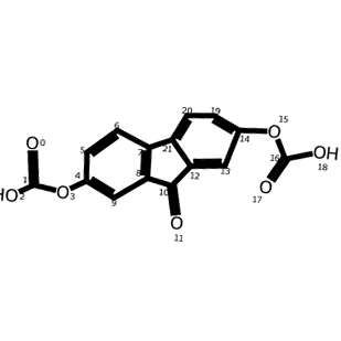 O=C(O)Oc1ccc2c(c1)C(=O)c1cc(OC(=O)O)ccc1-2